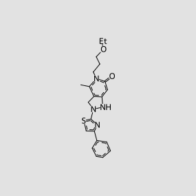 CCOCCCn1c(C)c2c(cc1=O)NN(c1nc(-c3ccccc3)cs1)C2